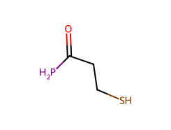 O=C(P)CCS